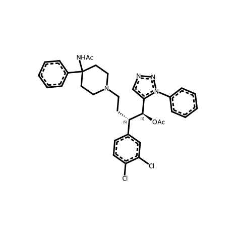 CC(=O)NC1(c2ccccc2)CCN(CC[C@@H](c2ccc(Cl)c(Cl)c2)[C@H](OC(C)=O)c2cnnn2-c2ccccc2)CC1